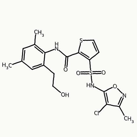 Cc1cc(C)c(NC(=O)c2sccc2S(=O)(=O)Nc2onc(C)c2Cl)c(CCO)c1